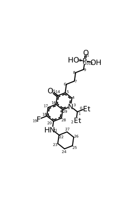 CCC(CC)n1cc(CCCCP(=O)(O)O)c(=O)c2cc(F)c(NC3CCCCC3)cc21